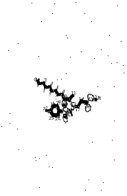 CCCCCCCCCCC(C)S(CCC(=O)OC)=NS(=O)(=O)c1ccc(C)cc1